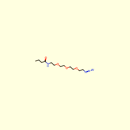 CCCC(=O)NCCOCCOCCOCCN=[N+]=[N-]